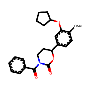 COc1ccc(C2CCN(C(=O)c3ccccc3)C(=O)O2)cc1OC1CCCC1